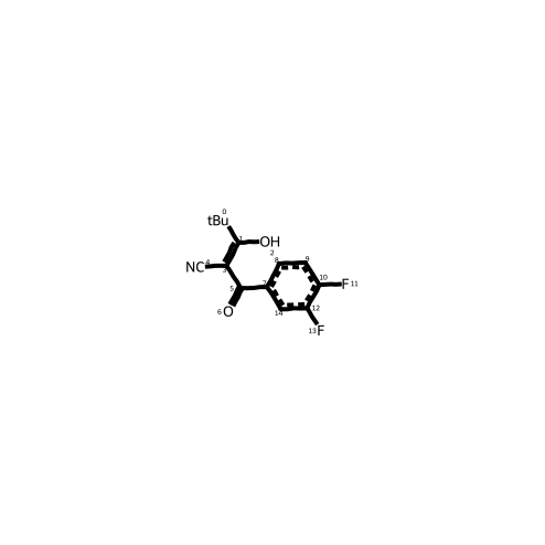 CC(C)(C)C(O)=C(C#N)C(=O)c1ccc(F)c(F)c1